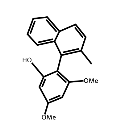 COc1cc(O)c(-c2c(C)ccc3ccccc23)c(OC)c1